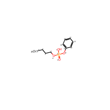 CCCCCCCCCCCOP(=O)(O)Oc1ccccc1